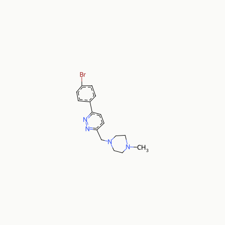 CN1CCN(Cc2ccc(-c3ccc(Br)cc3)nn2)CC1